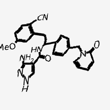 COc1ccc(C#N)c(CC(NC(=O)c2c[nH]nc2N)c2ccc(Cn3ccccc3=O)cc2)c1